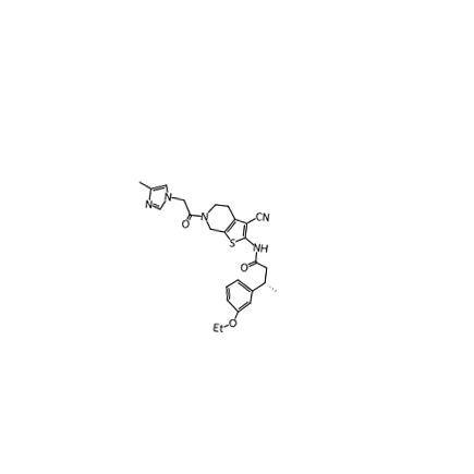 CCOc1cccc([C@@H](C)CC(=O)Nc2sc3c(c2C#N)CCN(C(=O)Cn2cnc(C)c2)C3)c1